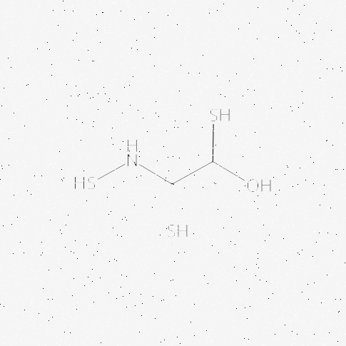 OC(S)[C@H](S)NS